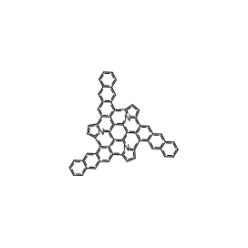 c1ccc2cc3c(cc2c1)cc1c2c3c3ccc4c5cc6cc7ccccc7cc6c6c5c5c(c2c2c7c8c(cc9cc%10ccccc%10cc9c8c8ccc1n82)c1ccc6n1c57)n43